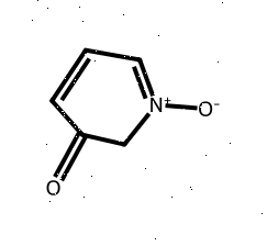 O=C1C=CC=[N+]([O-])C1